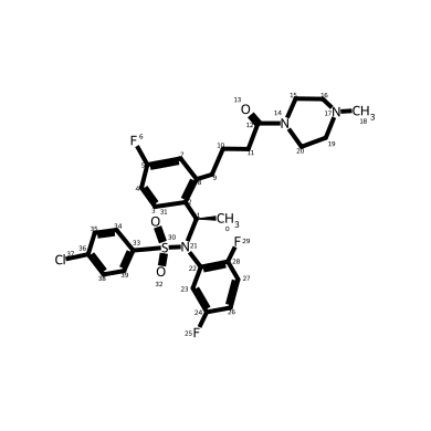 C[C@H](c1ccc(F)cc1CCCC(=O)N1CCN(C)CC1)N(c1cc(F)ccc1F)S(=O)(=O)c1ccc(Cl)cc1